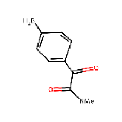 Bc1ccc(C(=O)C(=O)NC)cc1